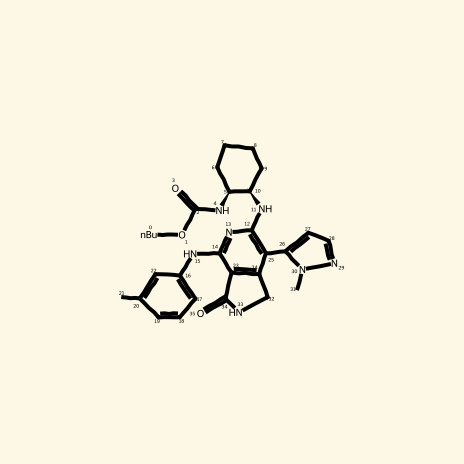 CCCCOC(=O)N[C@H]1CCCC[C@H]1Nc1nc(Nc2cccc(C)c2)c2c(c1-c1ccnn1C)CNC2=O